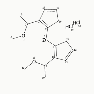 COC(C)C1=[C]([Zr][C]2=C(C(C)OC)C=CC2)CC=C1.Cl.Cl